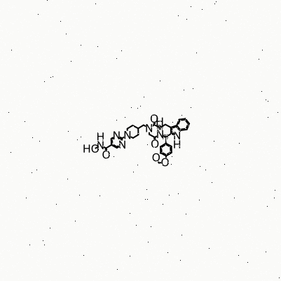 O=C(NO)c1cnc(N2CCC(CN3CC(=O)N4[C@H](c5ccc6c(c5)OCO6)c5[nH]c6ccccc6c5C[C@@H]4C3=O)CC2)nc1